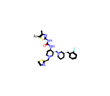 CC(=O)c1sc(NC(=O)N[C@@H]2CCN(Cc3nccs3)C[C@H]2CN2CCC[C@@H](Cc3ccccc3F)C2)nc1C